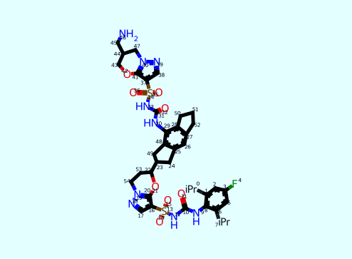 CC(C)c1cc(F)cc(C(C)C)c1NC(=O)NS(=O)(=O)c1cnn2c1OC(C1Cc3cc4c(c(NC(=O)NS(=O)(=O)c5cnn6c5OCC(CN)C6)c3C1)CCC4)CC2